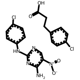 Nc1nc(Nc2ccc(Cl)cc2)ncc1[N+](=O)[O-].O=C(O)CCc1ccc(Cl)cc1